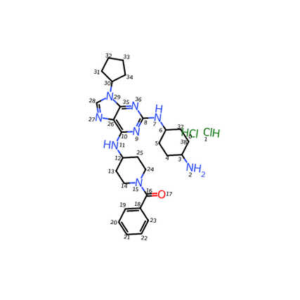 Cl.Cl.NC1CCC(Nc2nc(NC3CCN(C(=O)c4ccccc4)CC3)c3ncn(C4CCCC4)c3n2)CC1